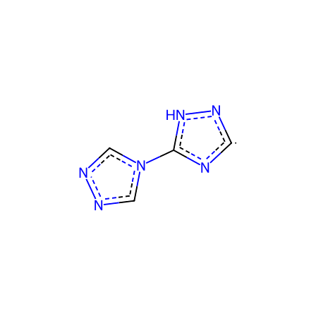 [c]1n[nH]c(-n2cnnc2)n1